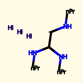 CCCN[CH]C(NCCC)NCCC.I.I.I